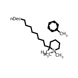 CCCCCCCCCCCCCCCCCCC1(C)CCCC[Si]1(C)C.Cc1ccccc1